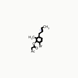 C/C=C/Cc1ccc(Br)c(OC(=O)CC(C)=O)c1C